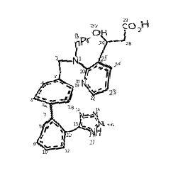 CCCN(Cc1ccc(-c2ccccc2-c2nnn[nH]2)cc1)c1ncccc1C(O)CC(=O)O